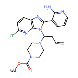 C=CCC(N1CCN(C(=O)OC(C)(C)C)CC1)n1c(-c2cccnc2N)nc2ccc(Cl)nc21